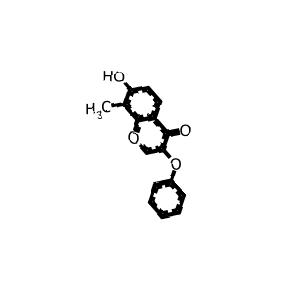 Cc1c(O)ccc2c(=O)c(Oc3ccccc3)coc12